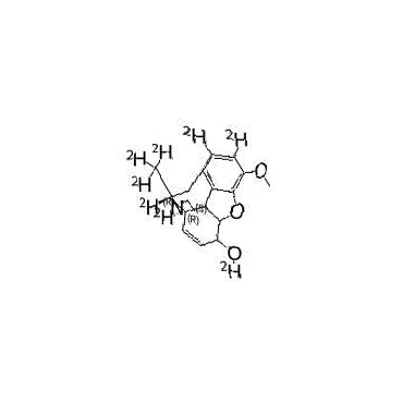 [2H]OC1C=C[C@]2([2H])[C@@]34CCN(C([2H])([2H])[2H])[C@]2([2H])Cc2c([2H])c([2H])c(OC)c(c23)OC14